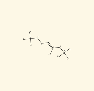 C/C(=C\CCC(C)(C)C)CC(C)(C)C